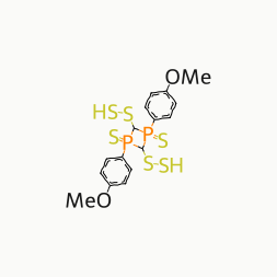 COc1ccc(P2(=S)C(SS)P(=S)(c3ccc(OC)cc3)C2SS)cc1